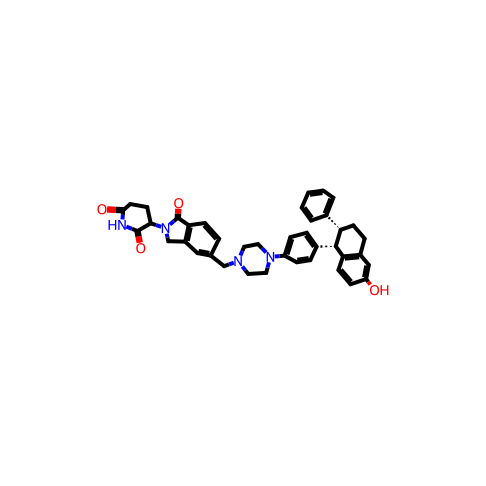 O=C1CCC(N2Cc3cc(CN4CCN(c5ccc([C@H]6c7ccc(O)cc7CC[C@H]6c6ccccc6)cc5)CC4)ccc3C2=O)C(=O)N1